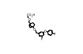 O=C(O)COCC12CCC(OCCc3cc(F)cc(Oc4ccc(F)cc4)c3)(CC1)C2